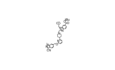 Cn1nc(C#N)c2ccc(COc3cccc(C4CCN(Cc5nc6ccc(C(=O)OC(C)(C)C)cc6n5CC5CCO5)CC4)n3)cc21